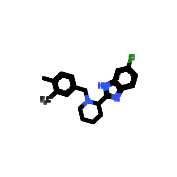 Cc1ccc(CN2CCCCC2c2nc3ccc(Cl)cc3[nH]2)cc1C(F)(F)F